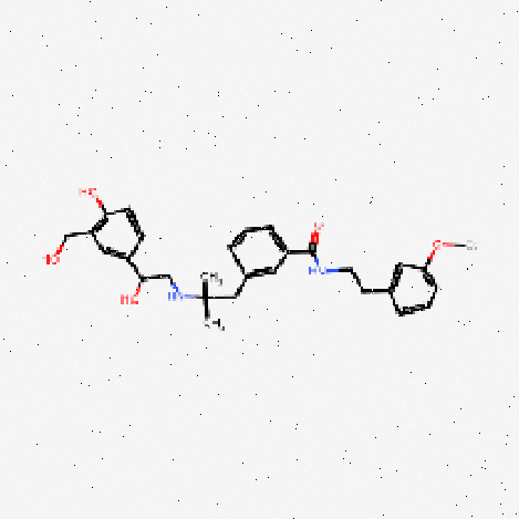 CCOc1cccc(CCNC(=O)c2cccc(CC(C)(C)NC[C@@H](O)c3ccc(O)c(CO)c3)c2)c1